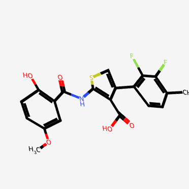 COc1ccc(O)c(C(=O)Nc2scc(-c3ccc(C)c(F)c3F)c2C(=O)O)c1